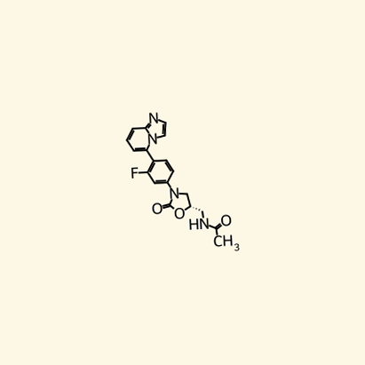 CC(=O)NC[C@H]1CN(c2ccc(-c3cccc4nccn34)c(F)c2)C(=O)O1